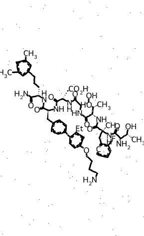 CCc1cc(OCCCCN)ccc1-c1ccc(C[C@H](NC(=O)[C@H](CC(=O)O)NC(=O)[C@H](CO)NC(=O)[C@@H](NC(=O)[C@](C)(Cc2ccccc2F)NC(=O)[C@@H](N)[C@@H](C)O)[C@@H](C)O)C(=O)N[C@@H](CCCc2cc(C)cc(C)c2)C(N)=O)cc1